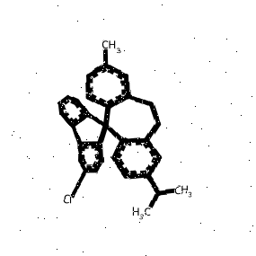 Cc1ccc2c(c1)CCc1cc(C(C)C)ccc1C21c2ccccc2-c2cc(Cl)ccc21